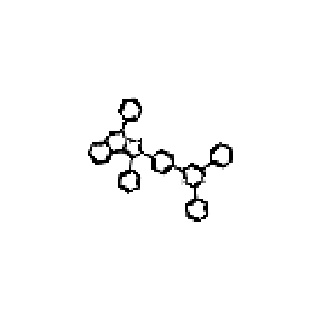 c1ccc(-c2cc(-c3ccc(-c4nn5c(-c6ccccc6)cc6ccccc6c5c4-c4ccccc4)cc3)nc(-c3ccccc3)n2)cc1